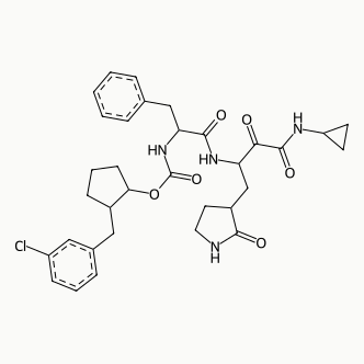 O=C(NC(Cc1ccccc1)C(=O)NC(CC1CCNC1=O)C(=O)C(=O)NC1CC1)OC1CCCC1Cc1cccc(Cl)c1